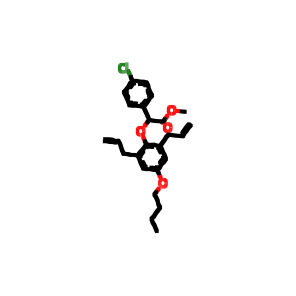 C=CCc1cc(OCCCC)cc(CC=C)c1OC(C(=O)OC)c1ccc(Cl)cc1